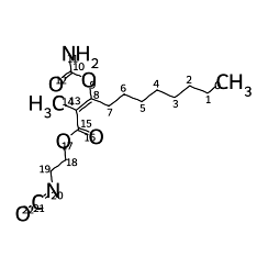 CCCCCCCCC(OC(N)=O)=C(C)C(=O)OCCN=C=O